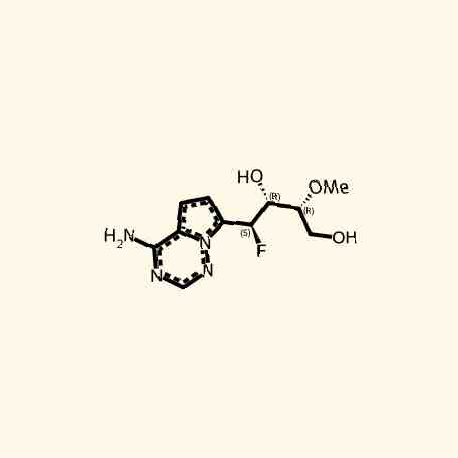 CO[C@H](CO)[C@@H](O)[C@@H](F)c1ccc2c(N)ncnn12